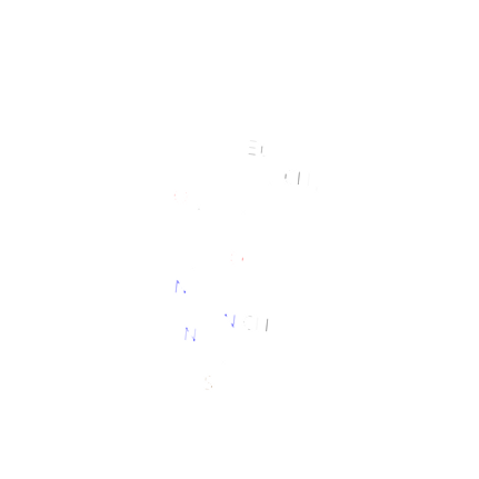 CCc1cc2c(cc1C)C(=O)/C(=C\c1cc3c(nc(-c4cccs4)n3C)n1-c1ccccc1)C2=O